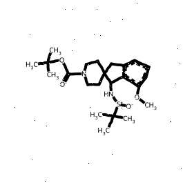 COc1cccc2c1C(N[S+]([O-])C(C)(C)C)C1(CCN(C(=O)OC(C)(C)C)CC1)C2